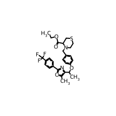 CCOC(=O)C1CSCCN1Cc1ccc(OC(C)c2nc(-c3ccc(C(F)(F)F)cc3)oc2C)cc1